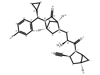 N#C[C@@H]1C[C@@H]2CC2N1C(=O)[C@@H](N)CN1C[C@@H]2C[C@H]1C(=O)N2[C@@H](c1ccc(F)cc1)C1CC1